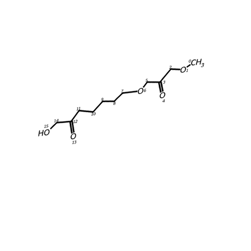 COCC(=O)COCCCCCC(=O)CO